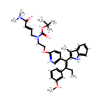 CC/C(=C(/c1ccc(OCCN(C/C=C/C(=O)N(C)C)C(=O)OC(C)(C)C)nc1)c1[nH]c2ccccc2c1C)c1cccc(OC)c1